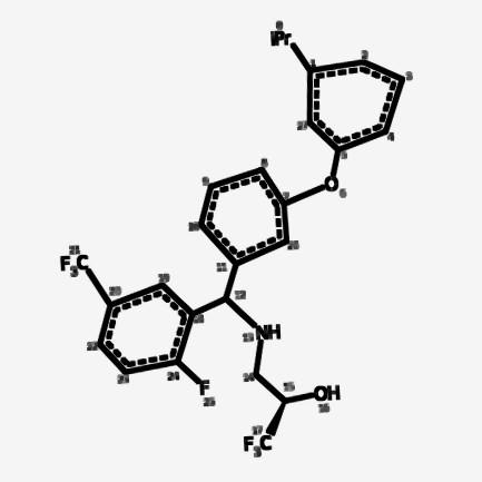 CC(C)c1cccc(Oc2cccc(C(NC[C@@H](O)C(F)(F)F)c3cc(C(F)(F)F)ccc3F)c2)c1